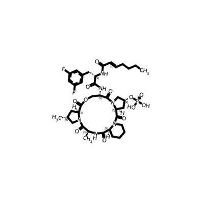 CCCC/C=C/C(=O)N[C@@H](Cc1cc(F)cc(F)c1)C(=O)N[C@H]1COC(=O)[C@@H]2C[C@@H](C)CN2C(=O)[C@H](C)NC(=O)[C@@H]2CCCCN2C(=O)[C@@H]2C[C@@H](OP(=O)(O)O)CN2C1=O